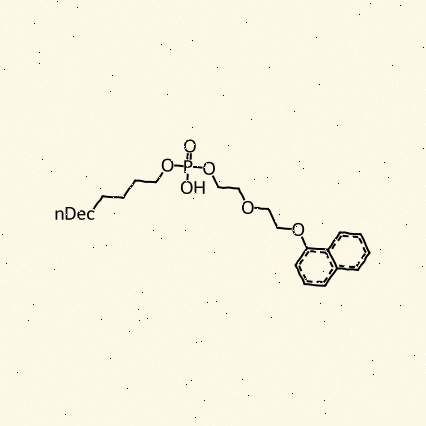 CCCCCCCCCCCCCCOP(=O)(O)OCCOCCOc1cccc2ccccc12